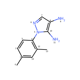 Cc1ccc(-n2ncc(N)c2N)c(C)c1